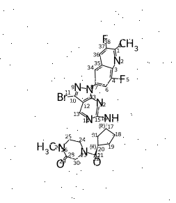 Cc1nc2c(F)cc(-n3nc(Br)c4cnc(N[C@@H]5CC[C@@H](C(=O)N6CCN(C)C(=O)C6)C5)nc43)cc2cc1F